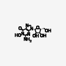 Nc1nc2c(ncn2[C@@H]2O[C@H](CO)[C@@H](O)[C@H]2O)c(=O)n1O